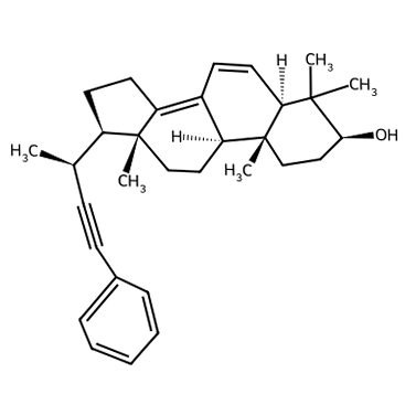 C[C@H](C#Cc1ccccc1)[C@H]1CCC2=C3C=C[C@H]4C(C)(C)[C@@H](O)CC[C@]4(C)[C@H]3CC[C@@]21C